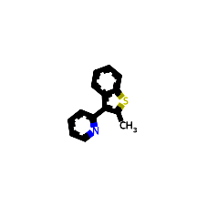 Cc1sc2ccccc2c1-c1ccccn1